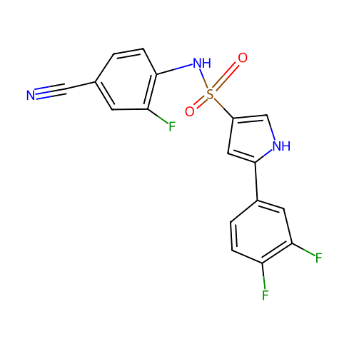 N#Cc1ccc(NS(=O)(=O)c2c[nH]c(-c3ccc(F)c(F)c3)c2)c(F)c1